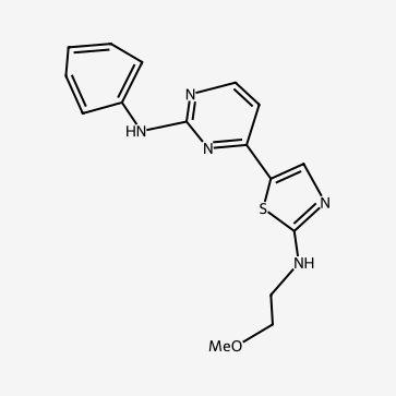 COCCNc1ncc(-c2ccnc(Nc3ccccc3)n2)s1